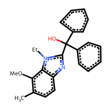 CCn1c(C(O)(c2ccccc2)c2ccccc2)nc2ccc(C)c(OC)c21